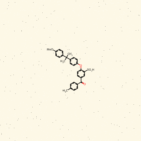 COc1ccc(C(C)(C)c2ccc(Oc3ccc(C(=O)c4ccc(C)cc4)cc3S(=O)(=O)O)cc2)cc1